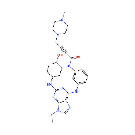 CCn1cnc2c(Nc3cccc(NC(=O)C#CCN4CCN(C)CC4)c3)nc(NC3CCC(O)CC3)nc21